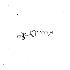 CS(=O)(=O)OCc1ccc(CC(=O)O)cc1